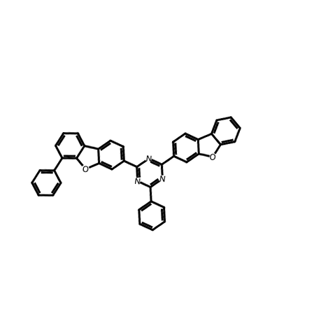 c1ccc(-c2nc(-c3ccc4c(c3)oc3ccccc34)nc(-c3ccc4c(c3)oc3c(-c5ccccc5)cccc34)n2)cc1